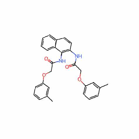 Cc1cccc(OCC(=O)Nc2ccc3ccccc3c2NC(=O)COc2cccc(C)c2)c1